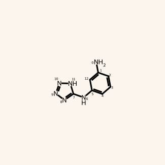 Nc1cccc(Nc2nnn[nH]2)c1